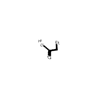 CCCC(=O)Cl.I